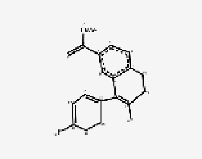 C=C(OC)c1ccc2c(c1)C(C1=CC=C(F)CC1)=C(C)CC2